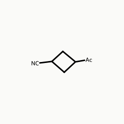 CC(=O)C1CC(C#N)C1